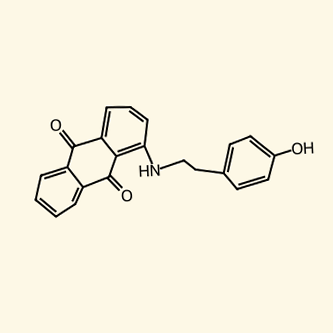 O=C1c2ccccc2C(=O)c2c(NCCc3ccc(O)cc3)cccc21